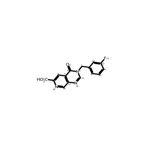 O=C(O)c1cc2c(=O)n(Cc3cccc(F)c3)cnc2cn1